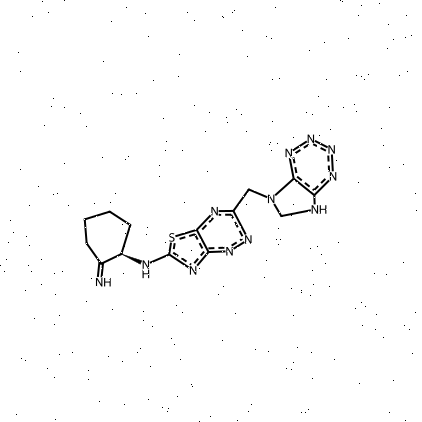 N=C1CCCC[C@H]1Nc1nc2nnc(CN3CNc4nnnnc43)nc2s1